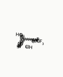 CC12CCC3c4ccc(OC(=O)CN5CCCC5)cc4CC(CCCCCCCCC[S+]([O-])CCCC(F)(F)C(F)(F)F)C3C1CCC2O.Cl